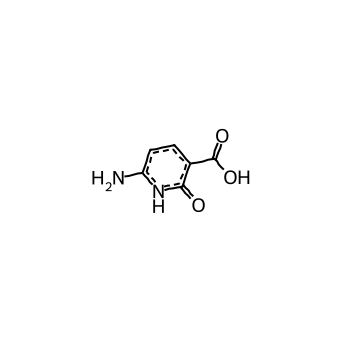 Nc1ccc(C(=O)O)c(=O)[nH]1